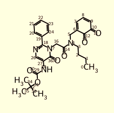 CCCCN(CC1=CC=CC(=O)C1=O)C(=O)Cn1c(-c2ccccc2)ncc(NC(=O)OC(C)(C)C)c1=O